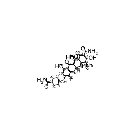 CN(C)[C@@H]1C(O)=C(C(N)=O)C(=O)[C@@]2(O)C(O)=C3C(=O)c4c(O)cc(CN5CCC(C(N)=O)CC5)c(F)c4C[C@H]3C[C@@H]12